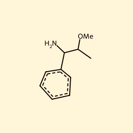 COC(C)C(N)c1ccccc1